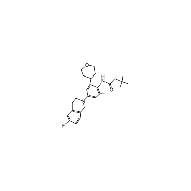 Cc1cc(N2CCc3cc(F)ccc3C2)cc(C2CCOCC2)c1NC(=O)CC(C)(C)C